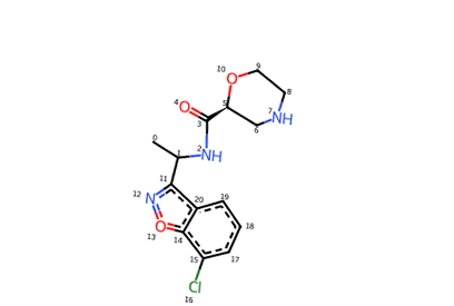 CC(NC(=O)[C@@H]1CNCCO1)c1noc2c(Cl)cccc12